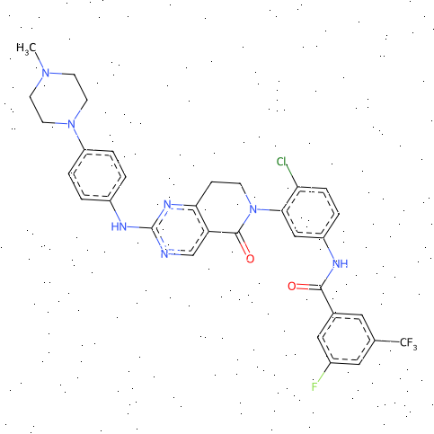 CN1CCN(c2ccc(Nc3ncc4c(n3)CCN(c3cc(NC(=O)c5cc(F)cc(C(F)(F)F)c5)ccc3Cl)C4=O)cc2)CC1